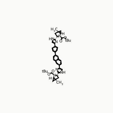 CC(C)(C)OC(=O)N1[C@H](c2nc(-c3ccc(-c4ccc5cc(-c6c[nH]c([C@@H]7C[C@@]8(C)C[C@H]8N7C(=O)OC(C)(C)C)n6)ccc5c4)cc3)c[nH]2)C[C@@]2(C)C[C@@H]12